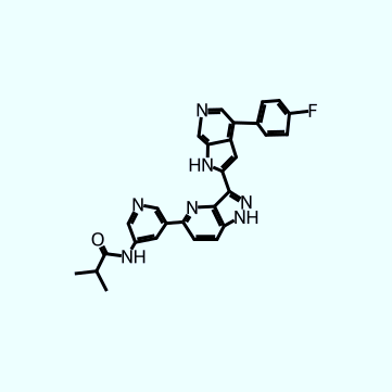 CC(C)C(=O)Nc1cncc(-c2ccc3[nH]nc(-c4cc5c(-c6ccc(F)cc6)cncc5[nH]4)c3n2)c1